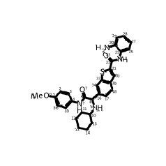 COc1ccc(NC(=O)C(NC2CCCCC2)c2ccc3cc(C(=O)Nc4ccccc4N)sc3c2)cc1